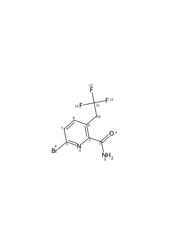 NC(=O)c1nc(Br)ccc1[CH]C(F)(F)F